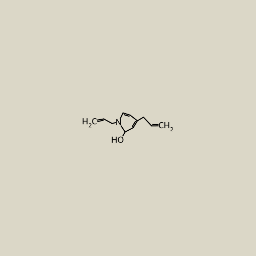 C=CCC1=CC(O)N(CC=C)C=C1